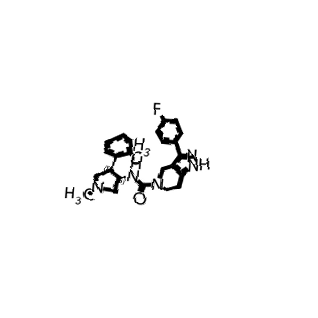 Cc1ccccc1[C@@H]1CN(C)C[C@H]1NC(=O)N1CCc2[nH]nc(-c3ccc(F)cc3)c2C1